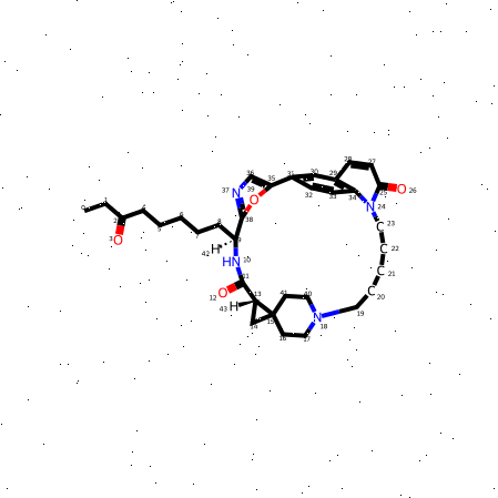 CCC(=O)CCCCC[C@@H]1NC(=O)[C@H]2CC23CCN(CCCCCn2c(=O)ccc4cc(ccc42)-c2cnc1o2)CC3